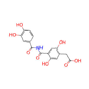 O=C(O)Cc1cc(O)c(C(=O)NC(=O)c2ccc(O)c(O)c2)cc1O